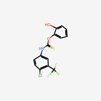 Oc1ccccc1OC(=S)Nc1ccc(Cl)c(C(F)(F)F)c1